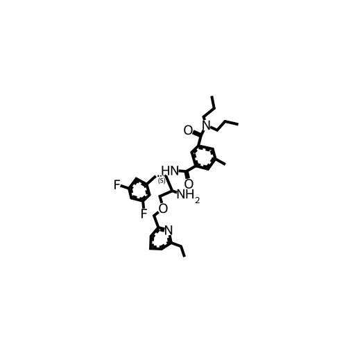 CCCN(CCC)C(=O)c1cc(C)cc(C(=O)N[C@@H](Cc2cc(F)cc(F)c2)C(N)COCc2cccc(CC)n2)c1